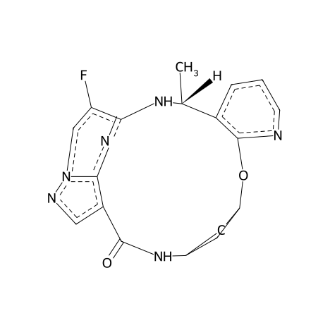 C[C@H]1Nc2nc3c(cnn3cc2F)C(=O)NC2CC(C2)Oc2ncccc21